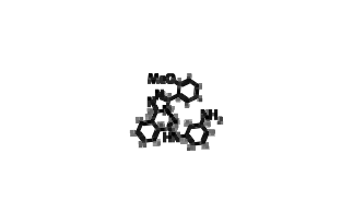 COc1ccccc1-c1nnc2c3ccccc3c(Nc3cccc(N)c3)nn12